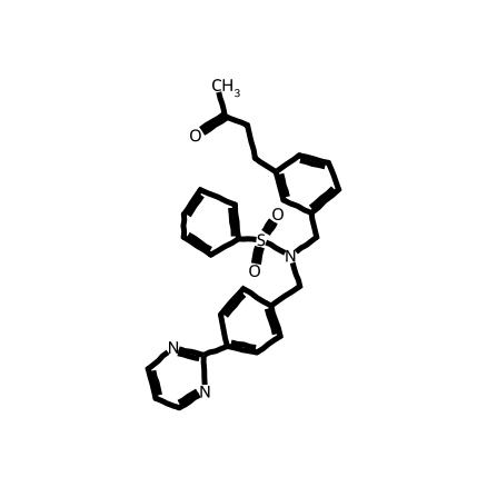 CC(=O)CCc1cccc(CN(Cc2ccc(-c3ncccn3)cc2)S(=O)(=O)c2ccccc2)c1